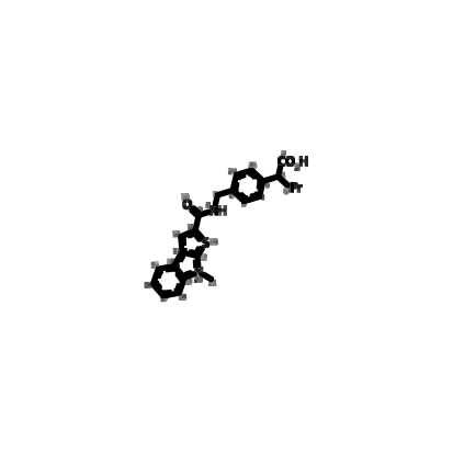 CC(C)C(C(=O)O)c1ccc(CNC(=O)c2cc3c4ccccc4n(C)c3s2)cc1